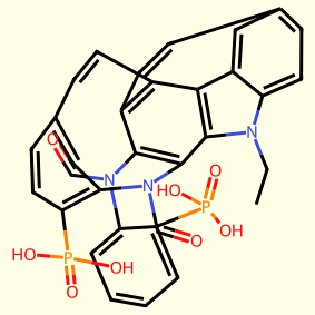 CCn1c2ccc3ccc4c(N(C=O)c5ccccc5P(=O)(O)O)c5c1c(c4ccc1ccc(P(=O)(O)O)c(c1)n5C=O)c2c3